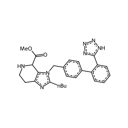 CCCCc1nc2c(n1Cc1ccc(-c3ccccc3-c3nnn[nH]3)cc1)C(C(=O)OC)NCC2